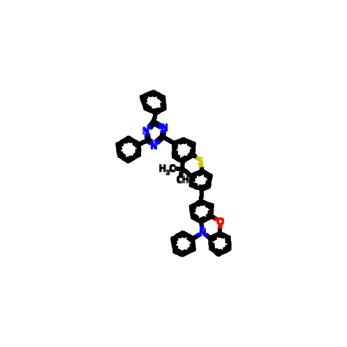 CC1(C)c2cc(-c3ccc4c(c3)Oc3ccccc3N4c3ccccc3)ccc2Sc2ccc(-c3nc(-c4ccccc4)nc(-c4ccccc4)n3)cc21